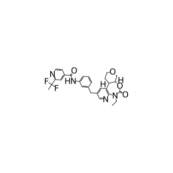 CCN1C(=O)O[C@@H]2COCC[C@@H]2c2cc(Cc3cccc(NC(=O)c4ccnc(C(C)(F)F)c4)c3)cnc21